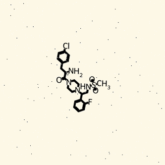 CS(=O)(=O)NCC(c1ccccc1F)N1CCN(C(=O)[C@H](N)Cc2ccc(Cl)cc2)CC1